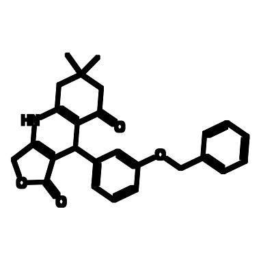 CC1(C)CC(=O)C2=C(C1)NC1=C(C(=O)OC1)C2c1cccc(OCc2ccccc2)c1